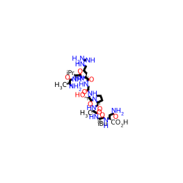 CC[C@H](C)[C@H](NC(=O)[C@H](C)NC(=O)[C@@H]1CCCN1C(=O)[C@H](CO)NC(=O)CNC(=O)[C@H](CCCNC(=N)N)NC(=O)[C@@H](NC(=O)[C@H](C)N)C(C)C)C(=O)N[C@@H](CC(N)=O)C(=O)O